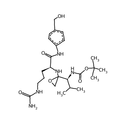 CC(C)[C@H](NC(=O)OC(C)(C)C)C1(N[C@@H](CCCNC(N)=O)C(=O)Nc2ccc(CO)cc2)CO1